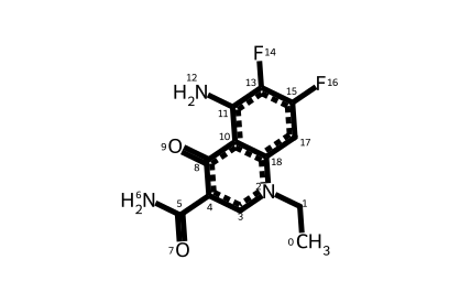 CCn1cc(C(N)=O)c(=O)c2c(N)c(F)c(F)cc21